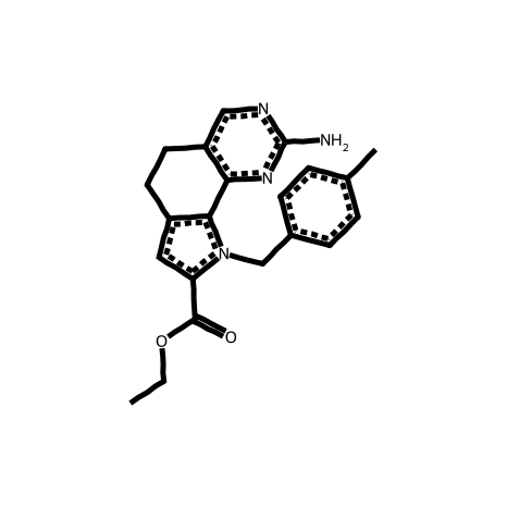 CCOC(=O)c1cc2c(n1Cc1ccc(C)cc1)-c1nc(N)ncc1CC2